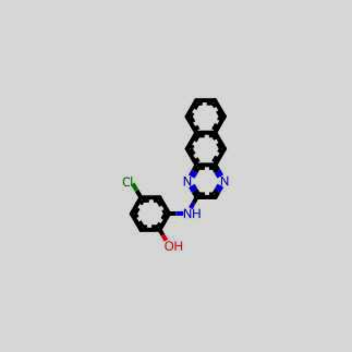 Oc1ccc(Cl)cc1Nc1cnc2cc3ccccc3cc2n1